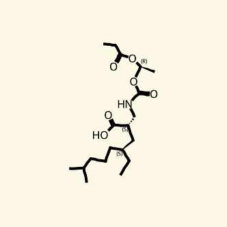 CCC(=O)O[C@@H](C)OC(=O)NC[C@H](C[C@@H](CC)CCCC(C)C)C(=O)O